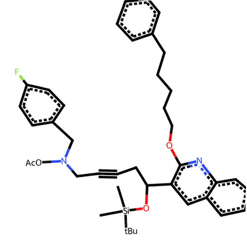 CC(=O)ON(CC#CCC(O[Si](C)(C)C(C)(C)C)c1cc2ccccc2nc1OCCCCCc1ccccc1)Cc1ccc(F)cc1